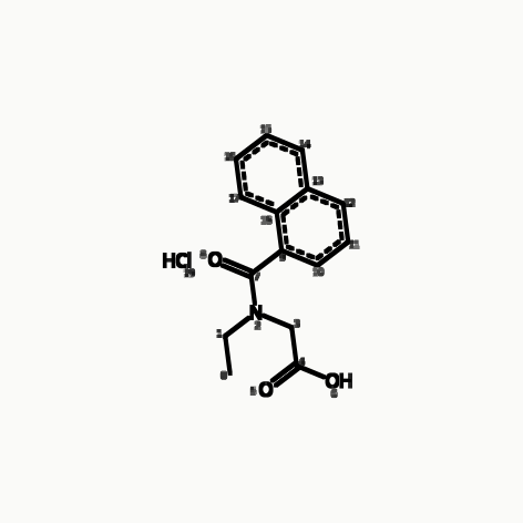 CCN(CC(=O)O)C(=O)c1cccc2ccccc12.Cl